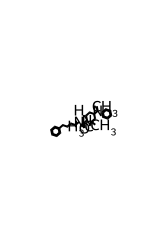 CN(c1ccccc1)C1CCN(C(=O)NCCCCc2ccccc2)C(C)(C)C1